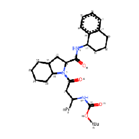 CCCC(CC(=O)N1C(C(=O)NC2CCCc3ccccc32)CC2CCCCC21)NC(=O)OC(C)(C)C